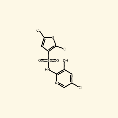 O=S(=O)(Nc1ncc(Cl)cc1O)c1cc(Cl)sc1Cl